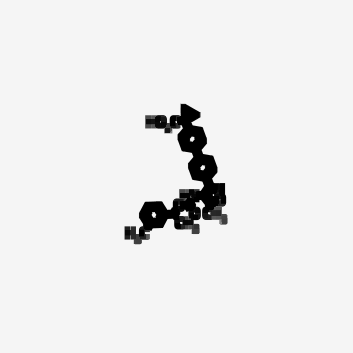 Cc1cccc([C@@H](C)OC(=O)Nc2c(-c3ccc(-c4ccc(C5(C(=O)O)CC5)cc4)cc3)noc2C)c1